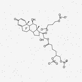 C[C@]12C=CC(=O)C=C1CCC1C3C[C@@H](O)[C@](OC(=O)CCCO[N+](=O)[O-])(C(=O)COC(=O)CCCC(CO[N+](=O)[O-])O[N+](=O)[O-])[C@@]3(C)C[C@H](O)[C@@]12F